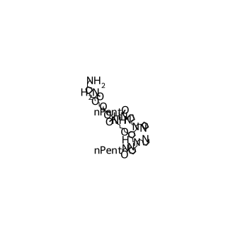 CCCCCC(=O)Nc1cccc(CN(Cc2cc(CN(Cc3ccccn3)Cc3cccc(NC(=O)CCCCC)n3)cc(OCCCCNC(=O)COCCOCCOC(Cc3ccc(CN)cc3)C(N)=O)c2)Cc2ccccn2)n1